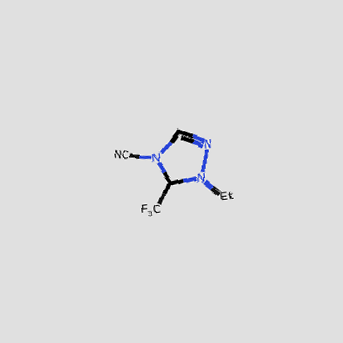 CCN1N=CN(C#N)C1C(F)(F)F